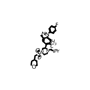 Cc1cc2c(cnn2-c2ccc(F)cc2)cc1C1CN(S(=O)(=O)CC2CCOCC2)CCN1CC(C)C